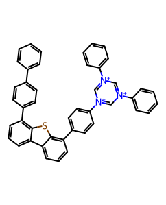 c1ccc(-c2ccc(-c3cccc4c3sc3c(-c5ccc(-[n+]6c[n+](-c7ccccc7)c[n+](-c7ccccc7)c6)cc5)cccc34)cc2)cc1